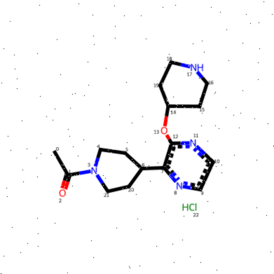 CC(=O)N1CCC(c2nccnc2OC2CCNCC2)CC1.Cl